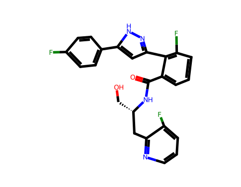 O=C(N[C@@H](CO)Cc1ncccc1F)c1cccc(F)c1-c1cc(-c2ccc(F)cc2)[nH]n1